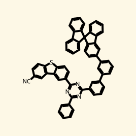 N#Cc1ccc2sc3ccc(-c4nc(-c5ccccc5)nc(-c5cccc(-c6cccc(-c7ccc8c(c7)-c7ccccc7C87c8ccccc8-c8ccccc87)c6)c5)n4)cc3c2c1